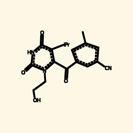 Cc1cc(C#N)cc(C(=O)c2c(C(C)C)c(=O)[nH]c(=O)n2CCO)c1